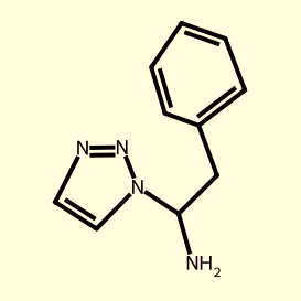 NC(Cc1ccccc1)n1ccnn1